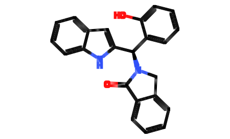 O=C1c2ccccc2CN1[C@@H](c1cc2ccccc2[nH]1)c1ccccc1O